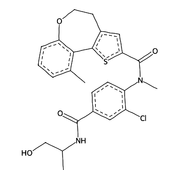 Cc1cccc2c1-c1sc(C(=O)N(C)c3ccc(C(=O)NC(C)CO)cc3Cl)cc1CCO2